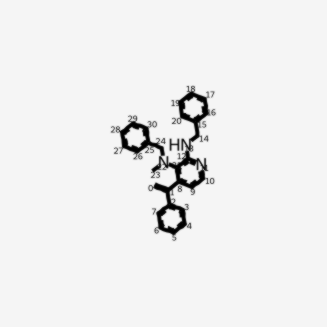 C=C(c1ccccc1)c1ccnc(NCc2ccccc2)c1N(C)Cc1ccccc1